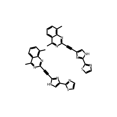 Cc1nc(C#Cc2c[nH]c(-c3nccs3)n2)nc2c(C)cccc12.Cc1nc(C#Cc2nc(-c3nccs3)c[nH]2)nc2c(C)cccc12